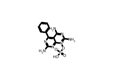 Nc1nc(-c2ccccc2)c2c(N)nc(N)[n+](OP(=O)([O-])O)c2n1